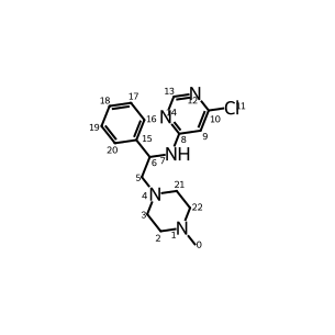 CN1CCN(CC(Nc2cc(Cl)ncn2)c2ccccc2)CC1